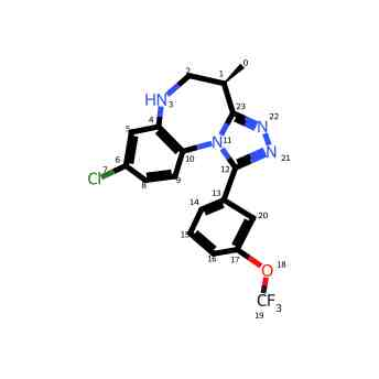 C[C@@H]1CNc2cc(Cl)ccc2-n2c(-c3cccc(OC(F)(F)F)c3)nnc21